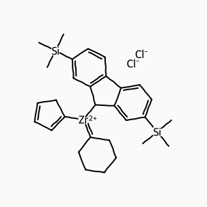 C[Si](C)(C)c1ccc2c(c1)[CH]([Zr+2]([C]1=CC=CC1)=[C]1CCCCC1)c1cc([Si](C)(C)C)ccc1-2.[Cl-].[Cl-]